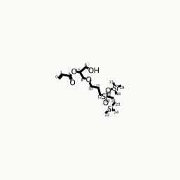 C=CC(=O)OC(CO)COCCC[Si](C)(O[Si](C)(C)C)O[Si](C)(C)C